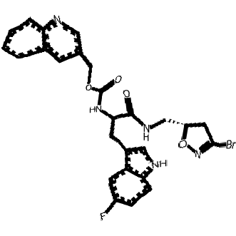 O=C(NC(Cc1c[nH]c2ccc(F)cc12)C(=O)NC[C@@H]1CC(Br)=NO1)OCc1cnc2ccccc2c1